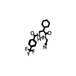 N#CCNC(=O)C(CNC(=O)c1ccc(C(F)(F)F)cc1)C1CCCCC1